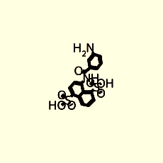 Nc1cccc(C(=O)Nc2ccc(S(=O)(=O)O)c3cccc(S(=O)(=O)O)c23)c1